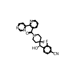 N#Cc1ccc([C@@H](O)C2(F)CCN(C(=O)c3cccnc3-c3ccncn3)CC2)c(F)c1